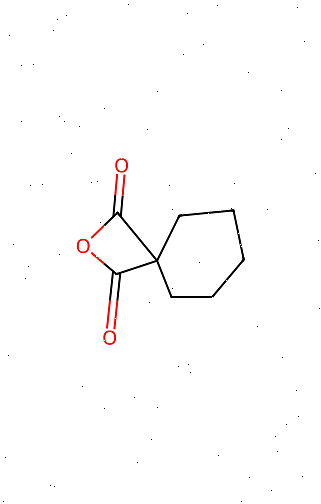 O=C1OC(=O)C12CCCCC2